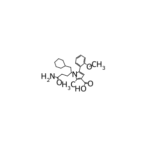 COc1ccccc1-c1cc(C(=O)O)c(C)n1C(CCC(N)=O)CC1CCCCC1